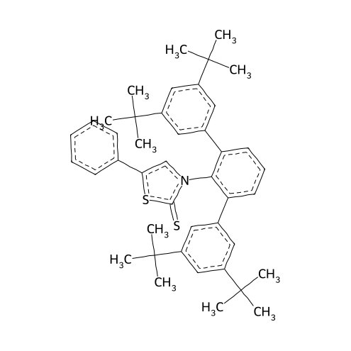 CC(C)(C)c1cc(-c2cccc(-c3cc(C(C)(C)C)cc(C(C)(C)C)c3)c2-n2cc(-c3ccccc3)sc2=S)cc(C(C)(C)C)c1